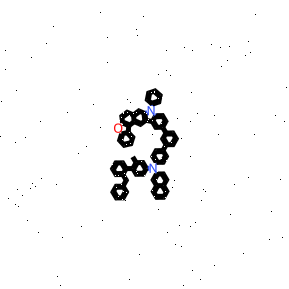 Cc1cc(N(c2ccc(-c3cccc(-c4ccc5c(c4)c4cc6c(ccc7oc8ccccc8c76)cc4n5-c4ccccc4)c3)cc2)c2ccc3ccccc3c2)ccc1-c1ccccc1Cc1ccccc1